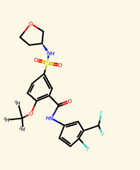 [2H]C([2H])([2H])Oc1ccc(S(=O)(=O)N[C@H]2CCOC2)cc1C(=O)Nc1ccc(F)c(C(F)F)c1